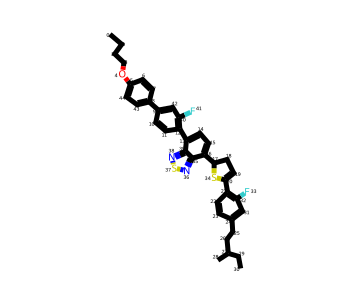 CCCCOc1ccc(-c2ccc(-c3ccc(C4CC=C(c5ccc(CCC(C)CC)cc5F)S4)c4nsnc34)c(F)c2)cc1